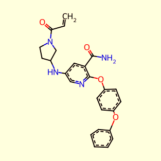 C=CC(=O)N1CCC(Nc2cnc(Oc3ccc(Oc4ccccc4)cc3)c(C(N)=O)c2)C1